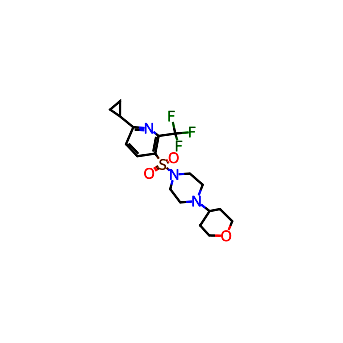 O=S(=O)(c1ccc(C2CC2)nc1C(F)(F)F)N1CCN(C2CCOCC2)CC1